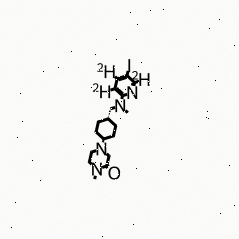 [2H]c1nc(N(C)C[C@H]2CC[C@H](N3CCN(C)C(=O)C3)CC2)c([2H])c([2H])c1I